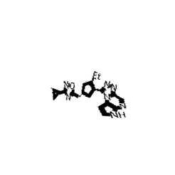 CC[C@@H]1C[C@@H](Cc2nc(C3CC3)no2)C[C@@H]1c1nnc2cnc3[nH]ccc3n12